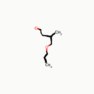 C=CCOCC(C)CC[O]